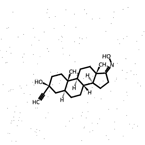 C#C[C@]1(O)CC[C@@]2(C)[C@@H](CC[C@@H]3[C@@H]2CC[C@]2(C)/C(=N\O)CC[C@@H]32)C1